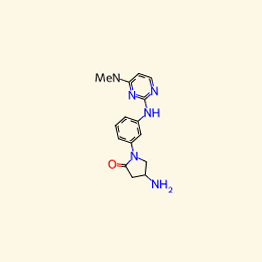 CNc1ccnc(Nc2cccc(N3CC(N)CC3=O)c2)n1